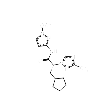 CC(=O)On1ccc(NC(=O)[C@H](CC2CCCC2)n2cnc(C(F)(F)F)n2)n1